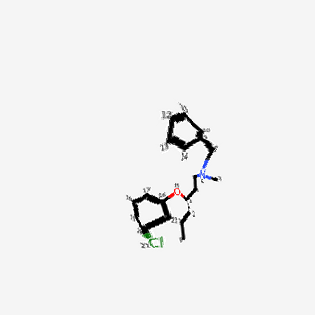 CCC[C@@H](CCN(C)Cc1ccccc1)Oc1cccc(Cl)c1